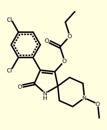 CCOC(=O)OC1=C(c2ccc(Cl)cc2Cl)C(=O)NC12CCN(OC)CC2